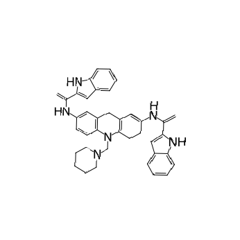 C=C(NC1=CC2=C(CC1)N(CN1CCCCC1)c1ccc(NC(=C)c3cc4ccccc4[nH]3)cc1C2)c1cc2ccccc2[nH]1